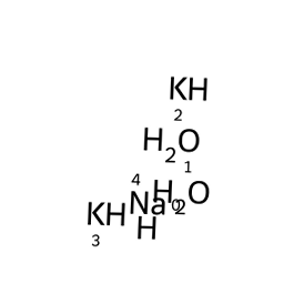 O.O.[KH].[KH].[NaH]